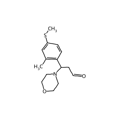 CSc1ccc(C(CC=O)N2CCOCC2)c(C)c1